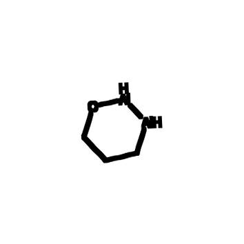 C1C[O][AlH][AlH][CH2]1